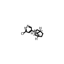 N[C@@H]1[C@@H]2CC[C@H]1CN(c1cnnc(Cl)c1)C2